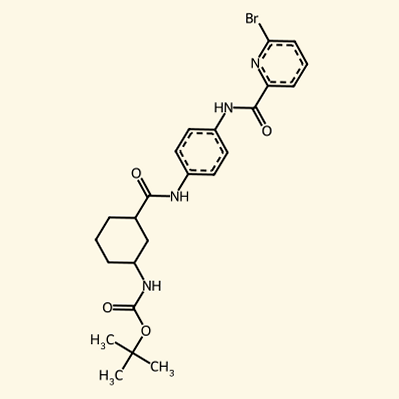 CC(C)(C)OC(=O)NC1CCCC(C(=O)Nc2ccc(NC(=O)c3cccc(Br)n3)cc2)C1